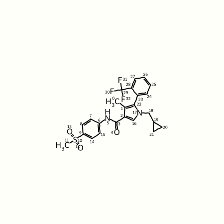 Cc1c(C(=O)Nc2ccc(S(C)(=O)=O)cc2)cn(CC2CC2)c1-c1ccccc1C(F)(F)F